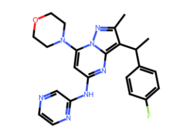 Cc1nn2c(N3CCOCC3)cc(Nc3cnccn3)nc2c1C(C)c1ccc(F)cc1